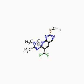 CSc1ncc2cc(C(F)F)c(N=C(C)N(C)C)nc2n1